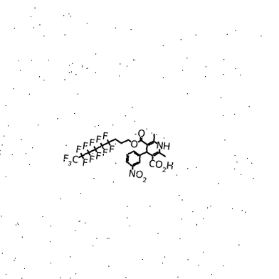 CC1=C(C(=O)O)C(c2cccc([N+](=O)[O-])c2)C(C(=O)OCCCC(F)(F)C(F)(F)C(F)(F)C(F)(F)C(F)(F)C(F)(F)F)=C(C)N1